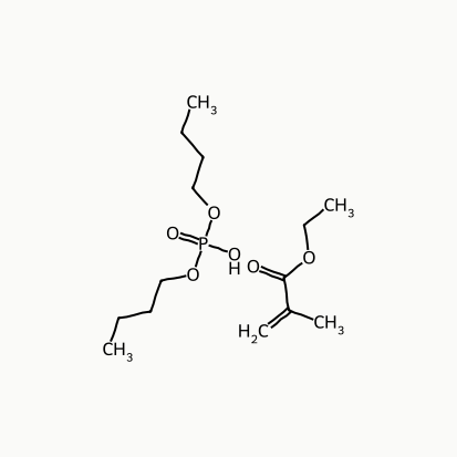 C=C(C)C(=O)OCC.CCCCOP(=O)(O)OCCCC